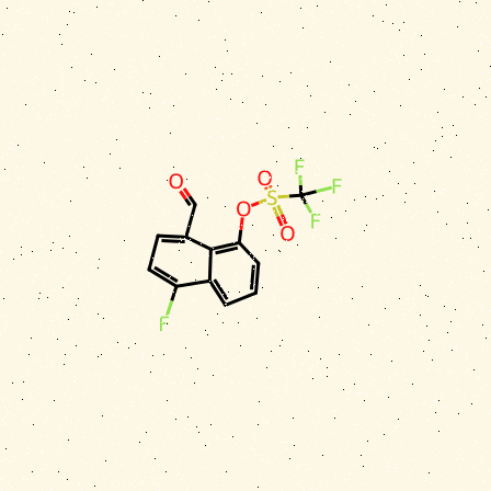 O=Cc1ccc(F)c2cccc(OS(=O)(=O)C(F)(F)F)c12